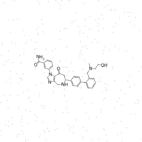 CN(CCO)Cc1ccccc1-c1ccc(C2CC(=O)c3c(ncn3-c3cccc(C(N)=O)c3)CN2)cc1